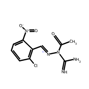 CC(=O)N(/N=C/c1c(Cl)cccc1[N+](=O)[O-])C(=N)N